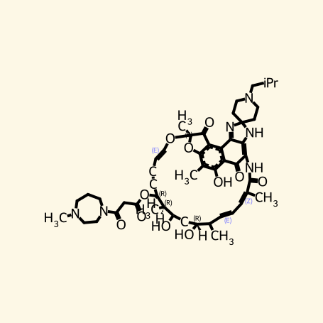 C/C1=C/C=C/C(C)[C@H](O)CC(O)[C@@H](C)[C@H](OC(=O)CC(=O)N2CCCN(C)CC2)CC/C=C/O[C@@]2(C)Oc3c(C)c(O)c4c(c3C2=O)C2=NC3(CCN(CC(C)C)CC3)NC2=C(NC1=O)C4=O